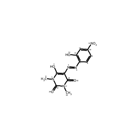 Cn1c(O)c(/N=N/c2ccc([N+](=O)[O-])cc2O)c(=O)n(C)c1=O